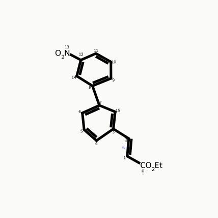 CCOC(=O)/C=C/c1cccc(-c2cccc([N+](=O)[O-])c2)c1